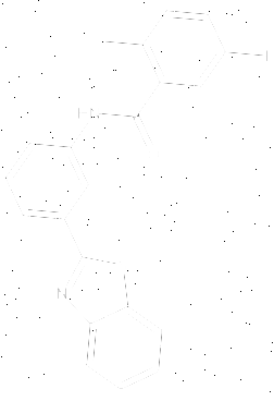 O=C(Nc1cccc(-c2nc3ccccc3s2)c1)c1cc(I)ccc1I